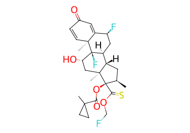 C[C@@H]1C[C@H]2[C@@H]3C[C@H](F)C4=CC(=O)C=C[C@]4(C)[C@@]3(F)[C@@H](O)C[C@]2(C)[C@@]1(OC(=O)C1(C)CC1)C(=S)OCF